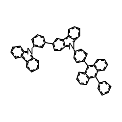 c1ccc(-c2c3ccccc3c(-c3ccc(-n4c5ccccc5c5cc(-c6cccc(-n7c8ccccc8c8ccccc87)c6)ccc54)cc3)c3ccccc23)cc1